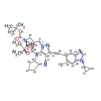 CC(C)(C)OC(=O)N1CCC(/C=[N+]2/N=C(C#Cc3cc4ncn(C5CC5)c4cc3F)C(C#N)=C2N(C(=O)OC(C)(C)C)C2CCCC2)C1